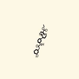 CCOC(=O)c1cnn2c(-c3cccc(NC(=O)Cc4cccc(OC)c4)c3)ccnc12